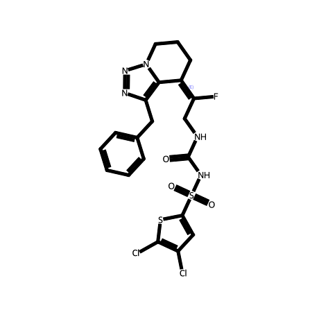 O=C(NC/C(F)=C1/CCCn2nnc(Cc3ccccc3)c21)NS(=O)(=O)c1cc(Cl)c(Cl)s1